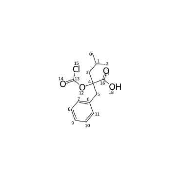 CC(C)CC(Cc1ccccc1)(OC(=O)Cl)C(=O)O